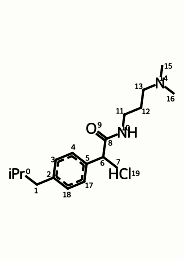 CC(C)Cc1ccc(C(C)C(=O)NCCCN(C)C)cc1.Cl